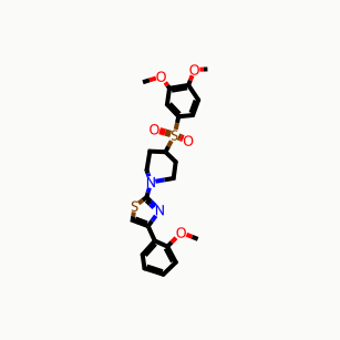 COc1ccc(S(=O)(=O)C2CCN(c3nc(-c4ccccc4OC)cs3)CC2)cc1OC